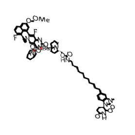 C#Cc1c(F)ccc2cc(OCOC)cc(-c3ncc4c(N5CC6CCC(C5)N6C(=O)OC(C)(C)C)nc(OC[C@@]56CCCN5[C@H](COC(=O)NCCCCCCCCCCCc5ccc7c(c5)n(C)c(=O)n7C5CCC(=O)NC5=O)CC6)nc4c3F)c12